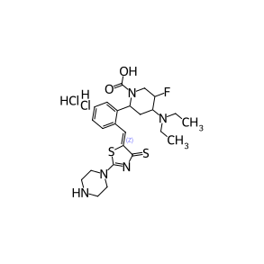 CCN(CC)C1CC(c2ccccc2/C=C2\SC(N3CCNCC3)=NC2=S)N(C(=O)O)CC1F.Cl.Cl